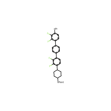 CCCCCC1CCC(c2ccc(-c3ccc(-c4ccc(CCC)c(F)c4F)cc3)c(F)c2F)CC1